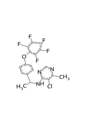 Cc1ncnc(NC(C)c2ccc(Oc3c(F)c(F)c(F)c(F)c3F)cc2)c1Cl